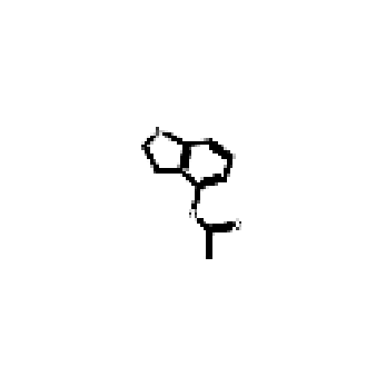 CC(=O)Oc1cccc2c1CC[N]2